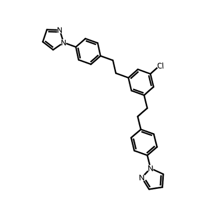 Clc1cc(CCc2ccc(-n3cccn3)cc2)cc(CCc2ccc(-n3cccn3)cc2)c1